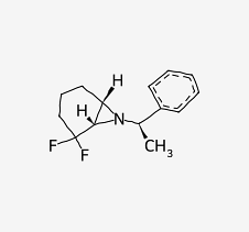 C[C@H](c1ccccc1)N1[C@H]2[C@@H]1CCCC2(F)F